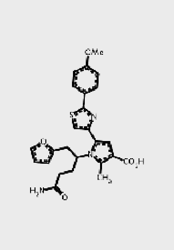 COc1ccc(-c2nc(-c3cc(C(=O)O)c(C)n3C(CCC(N)=O)Cc3ccco3)cs2)cc1